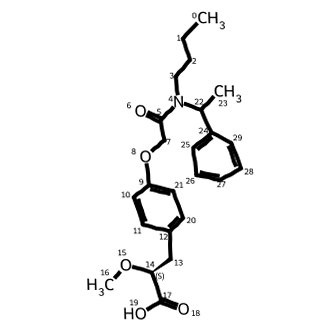 CCCCN(C(=O)COc1ccc(C[C@H](OC)C(=O)O)cc1)C(C)c1ccccc1